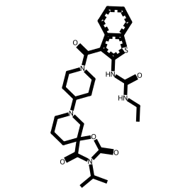 CCNC(=O)Nc1sc2ccccc2c1C(=O)N1CCC(N2CCCC3(C2)OC(=O)N(C(C)C)C3=O)CC1